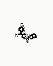 N#CC(=C1CCN(C(=O)N2CC3CCCC3C2)CC1)c1ccc(F)cc1